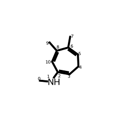 CNC1=CCC=C(C)C(C)=C1